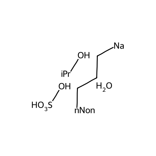 CC(C)O.CCCCCCCCCCC[CH2][Na].O.O=S(=O)(O)O